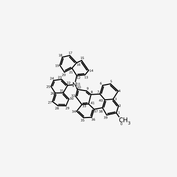 Cc1cc2cccc3c4cc(N(c5cccc6ccccc56)c5cccc6ccccc56)cc5cccc(c(c1)c23)c54